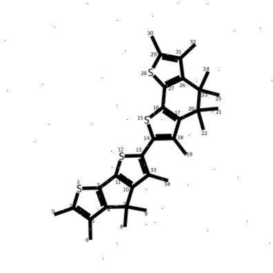 Cc1sc2c(c1C)C(C)(C)c1c-2sc(-c2sc3c(c2C)C(C)(C)C(C)(C)c2c-3sc(C)c2C)c1C